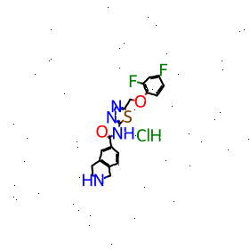 Cl.O=C(Nc1nnc(COc2ccc(F)cc2F)s1)c1ccc2c(c1)CCNC2